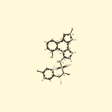 Cc1cnc([C@@H](C)[C@H](C)S(=O)(=O)Nc2nnc3c4nn(C)cc4c4cccc(F)c4n23)cn1